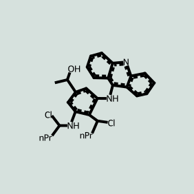 CCCC(Cl)Nc1cc(C(C)O)cc(Nc2c3ccccc3nc3ccccc23)c1C(Cl)CCC